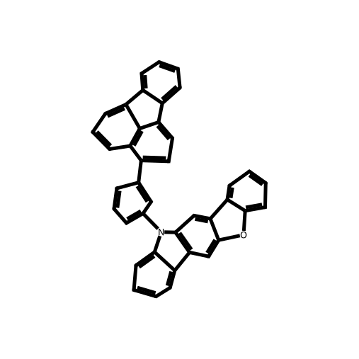 c1cc(-c2ccc3c4c(cccc24)-c2ccccc2-3)cc(-n2c3ccccc3c3cc4oc5ccccc5c4cc32)c1